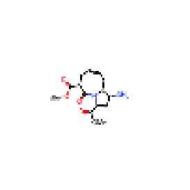 COC(=O)C1CC(N)C2CC=CCC(C(=O)OC(C)(C)C)C(=O)N12